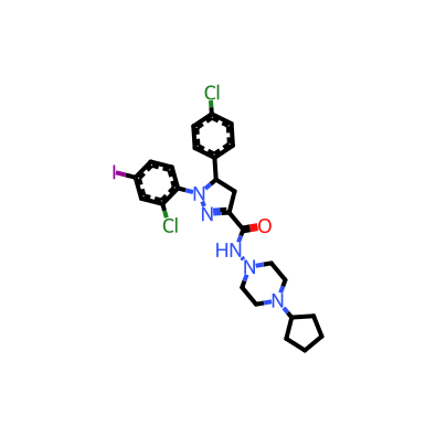 O=C(NN1CCN(C2CCCC2)CC1)C1=NN(c2ccc(I)cc2Cl)C(c2ccc(Cl)cc2)C1